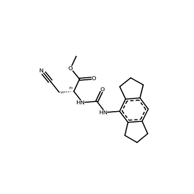 COC(=O)[C@@H](CC#N)NC(=O)Nc1c2c(cc3c1CCC3)CCC2